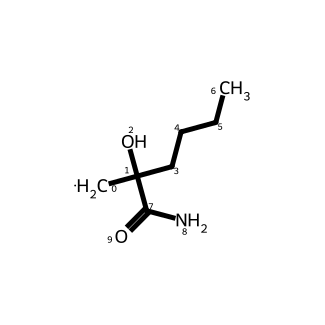 [CH2]C(O)(CCCC)C(N)=O